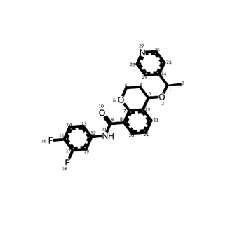 C[C@@H](OC1CCOc2c(C(=O)Nc3ccc(F)c(F)c3)cccc21)c1ccncc1